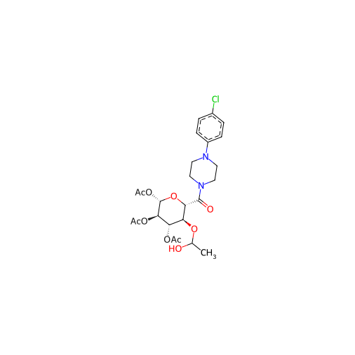 CC(=O)O[C@@H]1O[C@H](C(=O)N2CCN(c3ccc(Cl)cc3)CC2)[C@@H](OC(C)O)[C@H](OC(C)=O)[C@H]1OC(C)=O